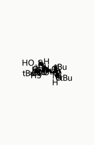 CC(C)(C)OC(=O)N[C@@H](CCC(=O)N[C@@H](COS(=O)(=O)O)C(=O)N[C@@H](CS)C(=O)OC(C)(C)C)C(=O)OC(C)(C)C